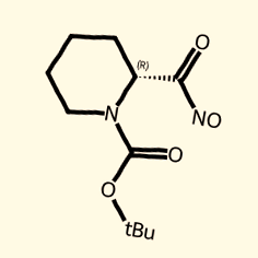 CC(C)(C)OC(=O)N1CCCC[C@@H]1C(=O)N=O